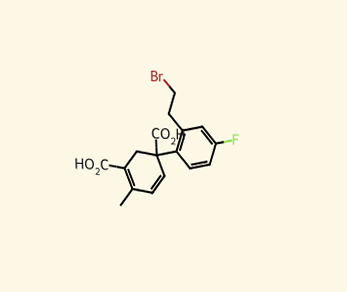 CC1=C(C(=O)O)CC(C(=O)O)(c2ccc(F)cc2CCBr)C=C1